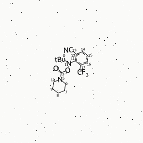 CC(C)(C)N(OC(=O)N1CCCCC1)c1c(C#N)cccc1C(F)(F)F